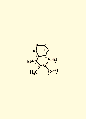 CCO[SiH](OCC)C(C)C(CC)C1CCCNC1